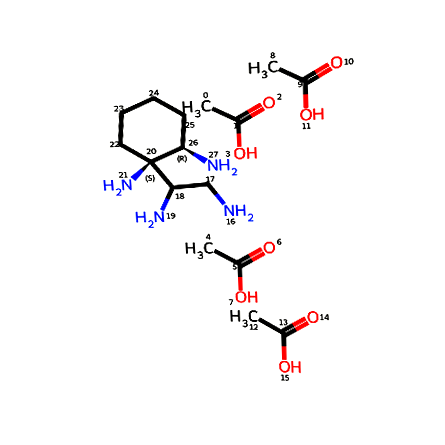 CC(=O)O.CC(=O)O.CC(=O)O.CC(=O)O.NCC(N)[C@]1(N)CCCC[C@H]1N